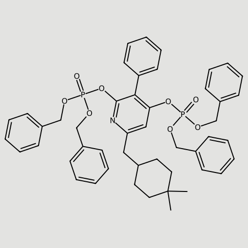 CC1(C)CCC(Cc2cc(OP(=O)(OCc3ccccc3)OCc3ccccc3)c(-c3ccccc3)c(OP(=O)(OCc3ccccc3)OCc3ccccc3)n2)CC1